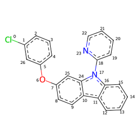 Clc1cccc(Oc2ccc3c4ccccc4n(-c4ccccn4)c3c2)c1